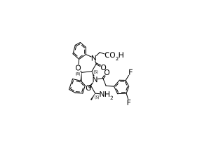 C[C@H](N)C(=O)N(C(=O)Cc1cc(F)cc(F)c1)[C@@H]1C(=O)N(CC(=O)O)c2ccccc2O[C@@H]1c1ccccc1